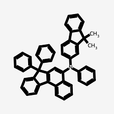 CC1(C)c2ccccc2-c2ccc(N(c3ccccc3)c3cc4c(c5ccccc35)-c3ccccc3C4(c3ccccc3)c3ccccc3)cc21